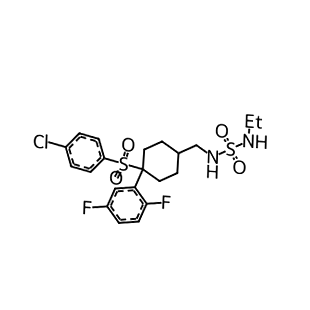 CCNS(=O)(=O)NCC1CCC(c2cc(F)ccc2F)(S(=O)(=O)c2ccc(Cl)cc2)CC1